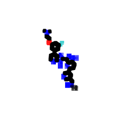 CCNCc1cncc(-c2ccc3[nH]nc(-c4nc5c(-c6cc(F)cc(OCCN(C)C)c6)ccnc5[nH]4)c3n2)c1